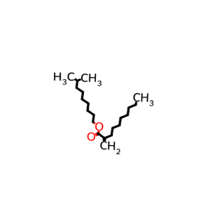 C=C(CCCCCCCC)C(=O)OCCCCCCCC(C)C